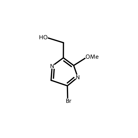 COc1nc(Br)cnc1CO